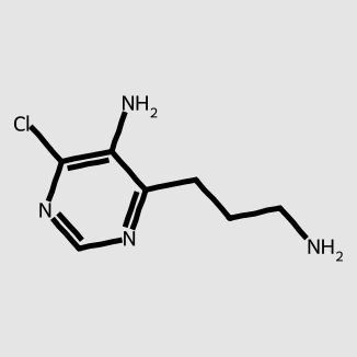 NCCCc1ncnc(Cl)c1N